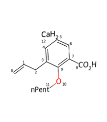 C=CCc1cccc(C(=O)O)c1OCCCCC.[CaH2]